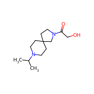 CC(C)N1CCC2(CCN(C(=O)CO)C2)CC1